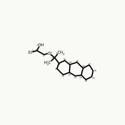 CCC(O)COC(C)(C)C1CCC2CC3CCCCC3CC2C1